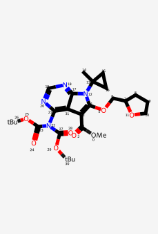 COC(=O)c1c(OCC2CCCO2)n(C2(C)CC2)c2ncnc(N(C(=O)OC(C)(C)C)C(=O)OC(C)(C)C)c12